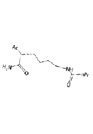 CCCC(=O)NCCCCC(C(C)=O)C(N)=O